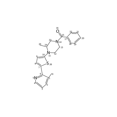 Cc1cccnc1-c1ccc(N2CCN(C(=O)c3ccccc3)CC2C)s1